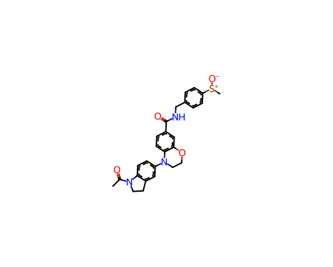 CC(=O)N1CCc2cc(N3CCOc4cc(C(=O)NCc5ccc([S+](C)[O-])cc5)ccc43)ccc21